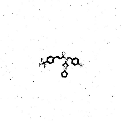 O=C(C=Cc1ccc(C(F)(F)F)cc1)N(Cc1ccc(Br)cc1)C1CN(C2CCCC2)C1